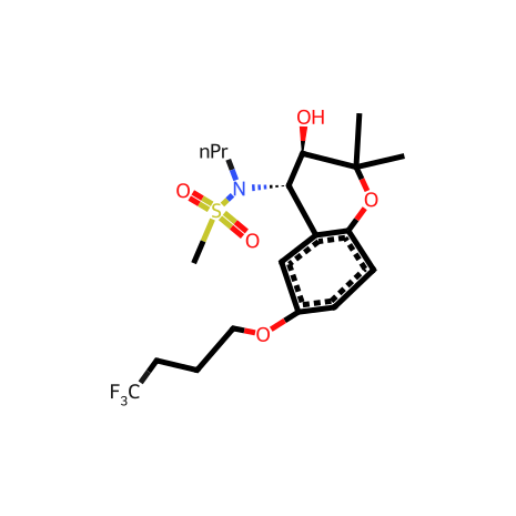 CCCN([C@H]1c2cc(OCCCC(F)(F)F)ccc2OC(C)(C)[C@@H]1O)S(C)(=O)=O